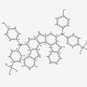 Cc1ccc(N(c2ccc(C(C)(C)C)cc2)c2cc3oc4cc(N(c5ccc(C)cc5)c5ccc(C(C)(C)C)cc5)c5c6ccccc6oc5c4c3c3c2oc2ccccc23)cc1